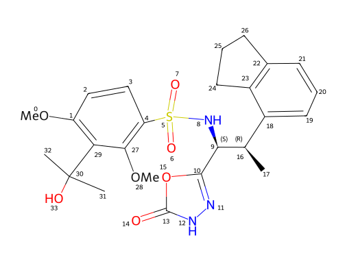 COc1ccc(S(=O)(=O)N[C@H](c2n[nH]c(=O)o2)[C@H](C)c2cccc3c2CCC3)c(OC)c1C(C)(C)O